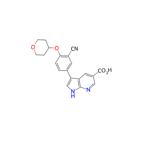 N#Cc1cc(-c2c[nH]c3ncc(C(=O)O)cc23)ccc1OC1CCOCC1